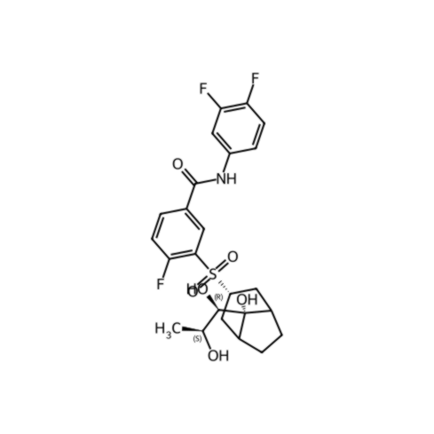 C[C@H](O)[C@@H](O)[C@]1(O)C2CCC1C[C@@H](S(=O)(=O)c1cc(C(=O)Nc3ccc(F)c(F)c3)ccc1F)C2